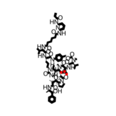 C=CC(=O)Nc1cccc(NC(=O)CCCCC(=O)N[C@H](C(=O)N[C@@H](CCCNC(N)=O)C(=O)Nc2ccc(COC(=O)N(C)[C@H](C(=O)N[C@H](C(=O)N(C)[C@@H]([C@@H](C)CC)[C@@H](CC(=O)N3CCC[C@H]3[C@H](OC)[C@@H](C)C(=O)N[C@H](C)[C@@H](O)c3ccccc3)OC)C(C)C)C(C)C)cc2)C(C)C)n1